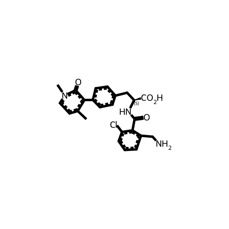 Cc1ccn(C)c(=O)c1-c1ccc(C[C@H](NC(=O)c2c(Cl)cccc2CN)C(=O)O)cc1